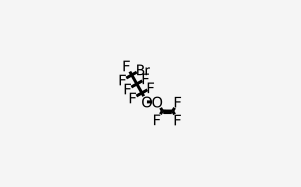 FC(F)=C(F)OOC(F)(F)C(F)(F)C(F)(F)Br